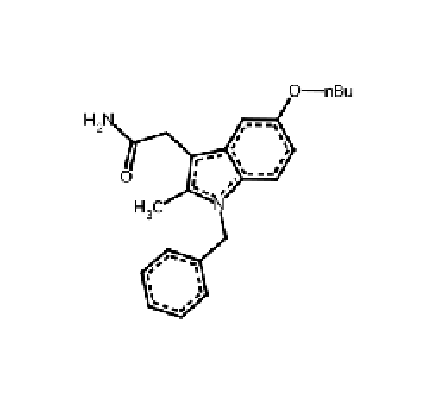 CCCCOc1ccc2c(c1)c(CC(N)=O)c(C)n2Cc1ccccc1